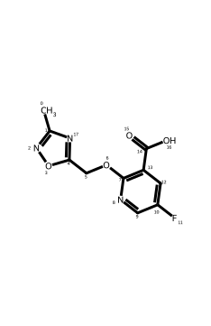 Cc1noc(COc2ncc(F)cc2C(=O)O)n1